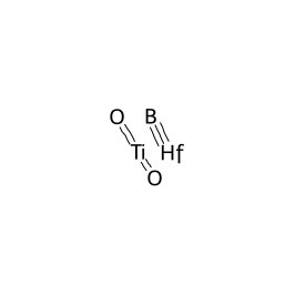 [B]#[Hf].[O]=[Ti]=[O]